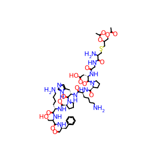 CC(=O)OCC(CSCC(N)C(=O)NCC(=O)N[C@@H](CC(=O)O)C(=O)N1CCC[C@H]1C(=O)N[C@@H](CCCCN)C(=O)N[C@@H](Cc1cnc[nH]1)C(=O)N1CCC[C@H]1C(=O)N[C@@H](CCCCN)C(=O)NC(CO)C(=O)N[C@H](C=O)Cc1ccccc1)OC(C)=O